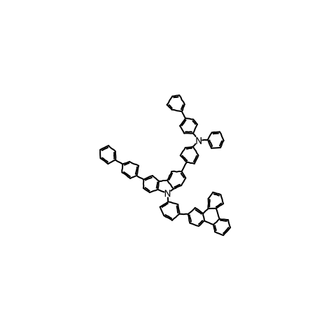 c1ccc(-c2ccc(-c3ccc4c(c3)c3cc(-c5ccc(N(c6ccccc6)c6ccc(-c7ccccc7)cc6)cc5)ccc3n4-c3cccc(-c4ccc5c6ccccc6c6ccccc6c5c4)c3)cc2)cc1